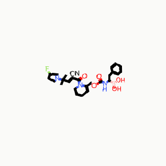 CC(C)(C=C(C#N)C(=O)N1CCCCC1COC(=O)NC(Cc1ccccc1)B(O)O)N1CCC(F)C1